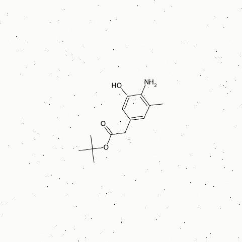 Cc1cc(CC(=O)OC(C)(C)C)cc(O)c1N